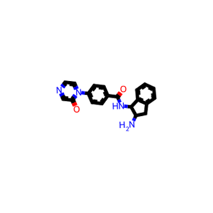 NC1Cc2ccccc2C1NC(=O)c1ccc(-n2ccncc2=O)cc1